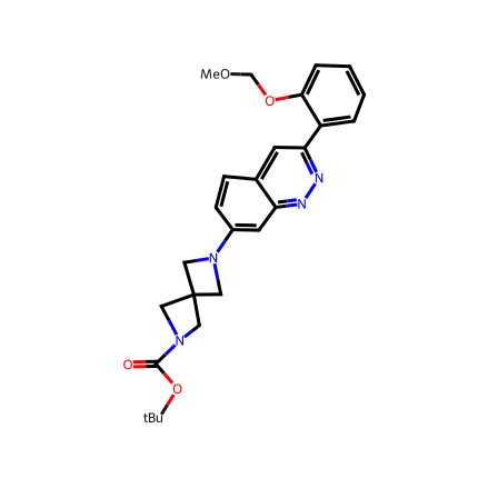 COCOc1ccccc1-c1cc2ccc(N3CC4(CN(C(=O)OC(C)(C)C)C4)C3)cc2nn1